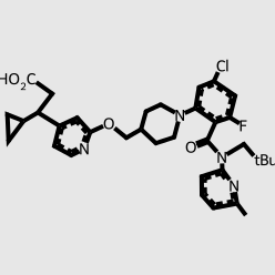 Cc1cccc(N(CC(C)(C)C)C(=O)c2c(F)cc(Cl)cc2N2CCC(COc3cc(C(CC(=O)O)C4CC4)ccn3)CC2)n1